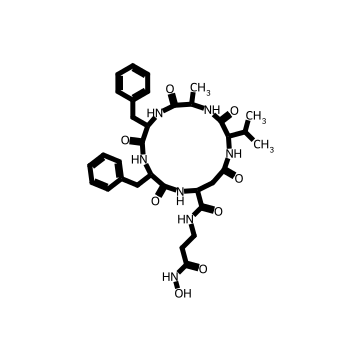 CC1NC(=O)C(C(C)C)NC(=O)CC(C(=O)NCCC(=O)NO)NC(=O)C(Cc2ccccc2)NC(=O)C(Cc2ccccc2)NC1=O